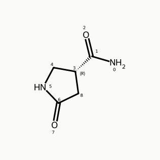 NC(=O)[C@H]1CNC(=O)C1